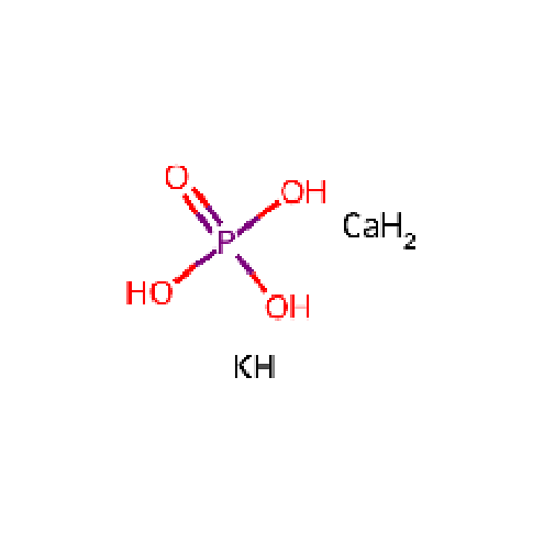 O=P(O)(O)O.[CaH2].[KH]